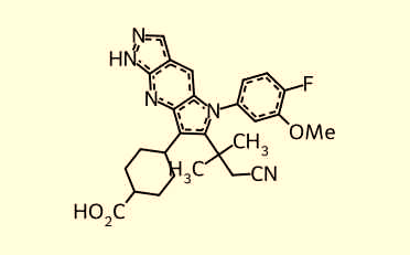 COc1cc(-n2c(C(C)(C)CC#N)c(C3CCC(C(=O)O)CC3)c3nc4[nH]ncc4cc32)ccc1F